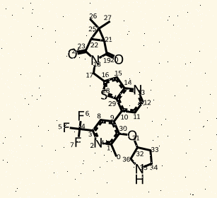 Cc1nc(C(F)(F)F)cc(-c2ccnc3cc(CN4C(=O)C5C(C4=O)C5(C)C)sc23)c1OC1CCNC1